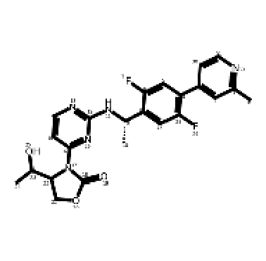 Cc1cc(-c2cc(F)c([C@H](C)Nc3nccc(N4C(=O)OCC4C(C)O)n3)cc2F)ccn1